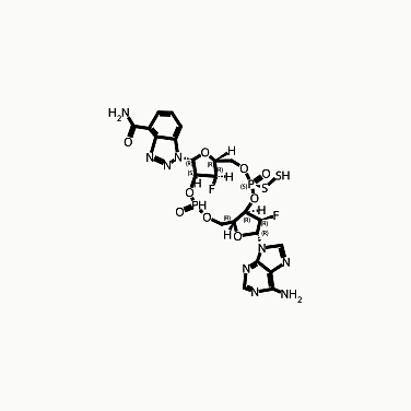 NC(=O)c1cccc2c1nnn2[C@@H]1O[C@@H]2CO[P@](=O)(SS)O[C@H]3[C@@H](F)[C@H](n4cnc5c(N)ncnc54)O[C@@H]3CO[PH](=O)O[C@@H]1[C@@H]2F